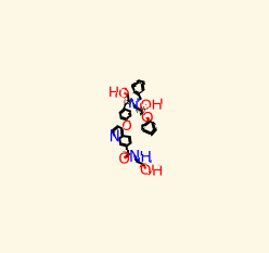 O=C(NCCO)c1ccc2c(Oc3ccc(C[C@@H](CO)N(Cc4ccccc4)C[C@H](O)COc4ccccc4)cc3)ccnc2c1